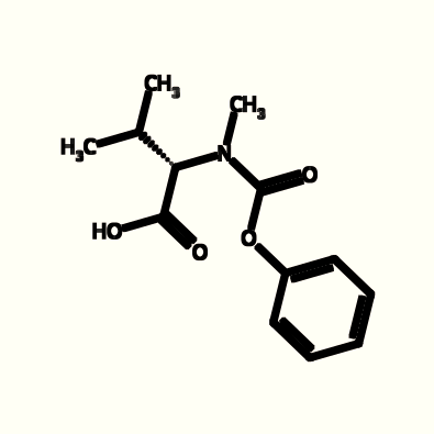 CC(C)[C@@H](C(=O)O)N(C)C(=O)Oc1ccccc1